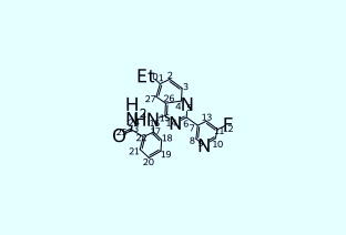 CCc1ccc2nc(-c3cncc(F)c3)nc(Nc3ccccc3C(N)=O)c2c1